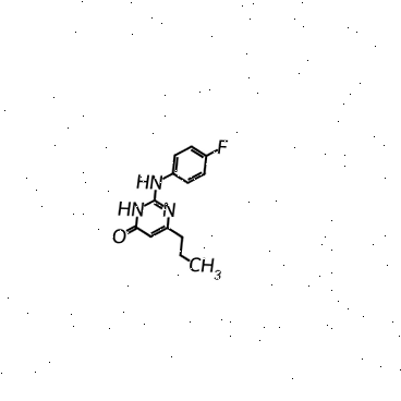 CCCc1cc(=O)[nH]c(Nc2ccc(F)cc2)n1